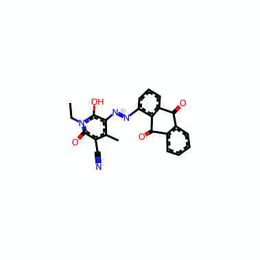 CCn1c(O)c(/N=N/c2cccc3c2C(=O)c2ccccc2C3=O)c(C)c(C#N)c1=O